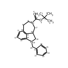 CC(C)(C)OC(=O)N1CCc2cccc3c2C(C1)CN3Cc1ccccc1